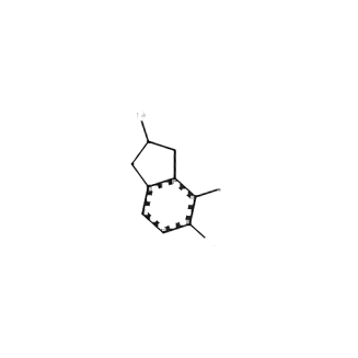 NC1Cc2ccc(Cl)c(F)c2C1